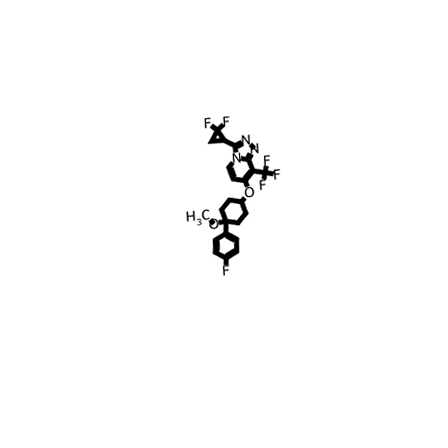 COC1(c2ccc(F)cc2)CCC(Oc2ccn3c(C4CC4(F)F)nnc3c2C(F)(F)F)CC1